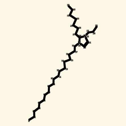 CCCCCCCCCCCCCCCCCCCN1C=CN(CCC)C1CCCCCCC